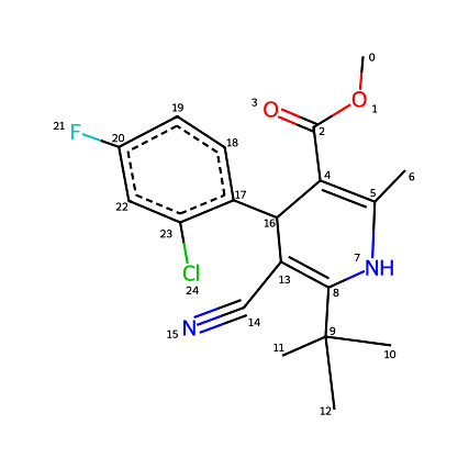 COC(=O)C1=C(C)NC(C(C)(C)C)=C(C#N)C1c1ccc(F)cc1Cl